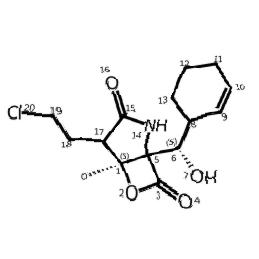 C[C@@]12OC(=O)C1([C@@H](O)C1C=CCCC1)NC(=O)C2CCCl